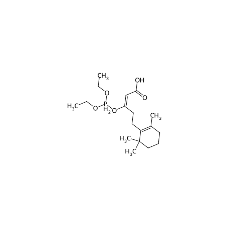 CCO[PH2](OCC)OC(=CC(=O)O)CCC1=C(C)CCCC1(C)C